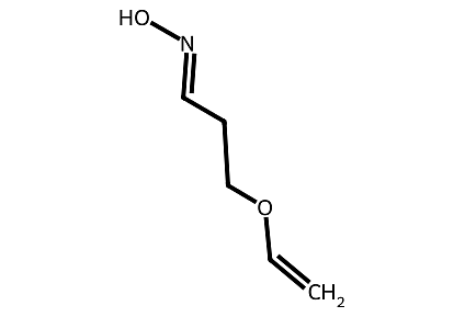 C=COCC/C=N/O